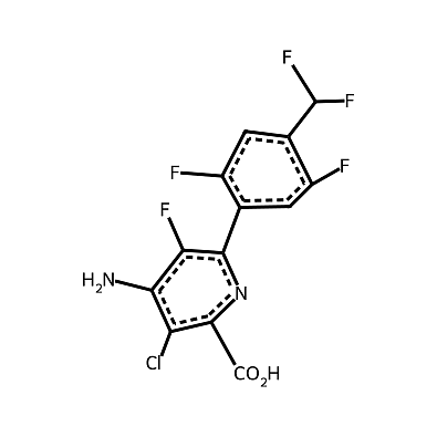 Nc1c(F)c(-c2cc(F)c(C(F)F)cc2F)nc(C(=O)O)c1Cl